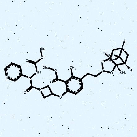 Cc1c(CCB2O[C@@H]3C[C@@H]4C[C@@H](C4(C)C)[C@]3(C)O2)ccc(OC2CN(C(=O)C(NC(=O)OC(C)(C)C)c3cccnc3)C2)c1C(=O)OC(C)(C)C